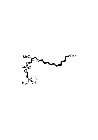 CCCCCCCCCCCCC/C=C\CCCCCOC[C@H](COP(=O)([O-])OCC[N+](C)(C)C)OC